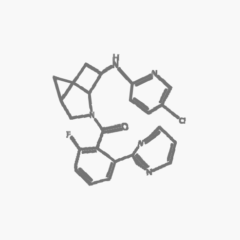 O=C(c1c(F)cccc1-c1ncccn1)N1CC2CC23CC(Nc2ccc(Cl)cn2)C13